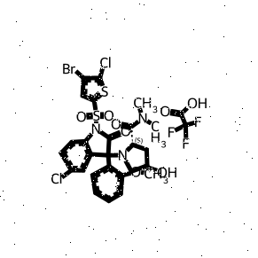 COc1ccccc1C1(N2C[C@H](O)C[C@H]2C(=O)N(C)C)C(=O)N(S(=O)(=O)c2cc(Br)c(Cl)s2)c2ccc(Cl)cc21.O=C(O)C(F)(F)F